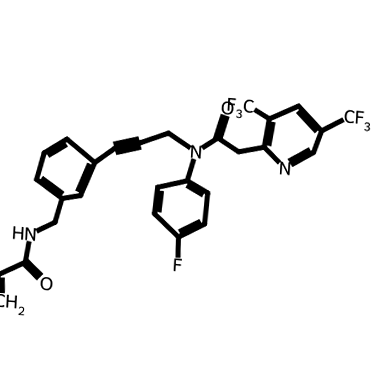 C=CC(=O)NCc1cccc(C#CCN(C(=O)Cc2ncc(C(F)(F)F)cc2C(F)(F)F)c2ccc(F)cc2)c1